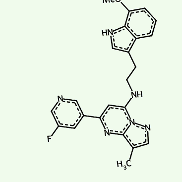 COc1cccc2c(CCNc3cc(-c4cncc(F)c4)nc4c(C)cnn34)c[nH]c12